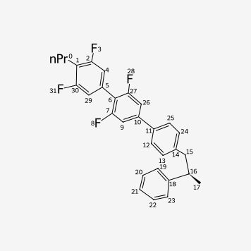 CCCc1c(F)cc(-c2c(F)cc(-c3ccc(C[C@@H](C)c4ccccc4)cc3)cc2F)cc1F